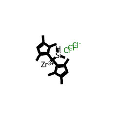 CC1=CC(C)=C([C]([Zr+3])(C2=C(C)C=C(C)C2C)[SiH](C)C)C1C.[Cl-].[Cl-].[Cl-]